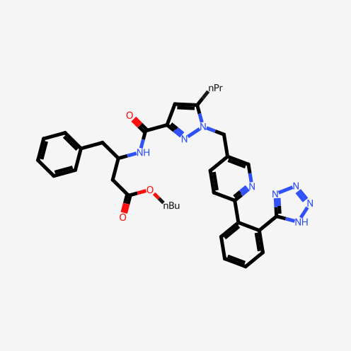 CCCCOC(=O)CC(Cc1ccccc1)NC(=O)c1cc(CCC)n(Cc2ccc(-c3ccccc3-c3nnn[nH]3)nc2)n1